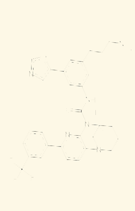 NCCCc1cc(NC(=O)N2c3nc(-c4cccc(C(F)(F)F)c4)ccc3N3CCC[C@H]2C3)cc(-c2cnco2)c1